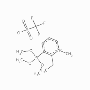 CCc1c([Si](OC)(OC)OC)ccc[n+]1C.O=S(=O)([O-])C(F)(F)F